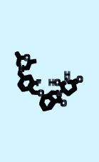 CC1CN(Cc2ccc(COc3cccc4c3CN([C@@H]3CCC(=O)NC3O)C4=O)c(F)c2)CC(C)O1